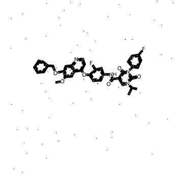 COc1cc2c(Oc3ccc(NC(=O)c4cn(C(C)C)c(=O)n(-c5ccc(F)cc5)c4=O)cc3F)ccnc2cc1OCc1ccccc1